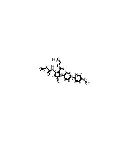 CCOC(=O)c1c(NC(=O)CC#N)cc(Cl)n1-c1ccc(-c2ccc(OC)cn2)cc1